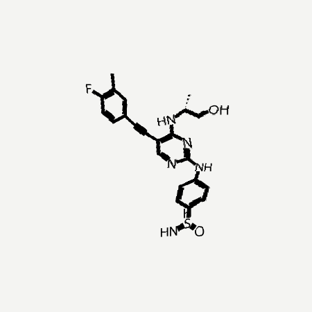 Cc1cc(C#Cc2cnc(Nc3ccc([SH](=N)=O)cc3)nc2N[C@H](C)CO)ccc1F